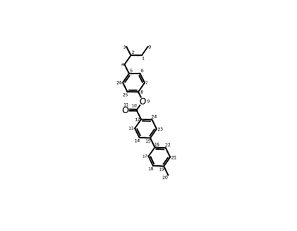 CCC(C)Cc1ccc(OC(=O)c2ccc(-c3ccc(C)cc3)cc2)cc1